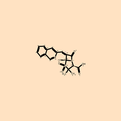 CC1(C)[C@H](C(=O)O)N2C(=O)/C(=C/c3cc4ccccc4cn3)[C@H]2S1(=O)=O